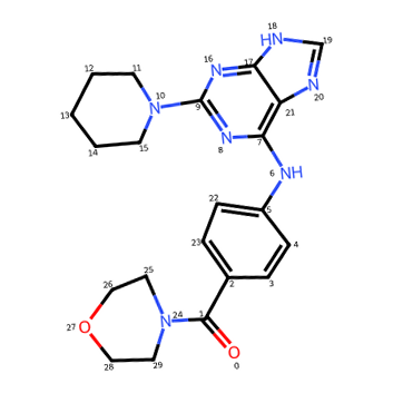 O=C(c1ccc(Nc2nc(N3CCCCC3)nc3[nH]cnc23)cc1)N1CCOCC1